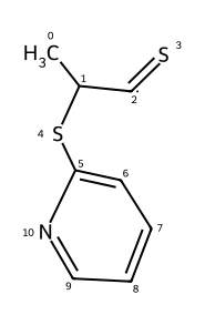 CC([C]=S)Sc1ccccn1